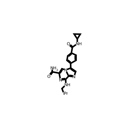 CC(C)CNc1nc(C(N)=O)cn2c(-c3ccc(C(=O)NC4CC4)cc3)cnc12